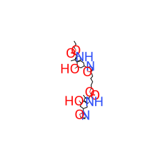 CCCOC(=O)c1[nH]c2c(c1C)C(O)CC(c1ncc(CCCCCOC(=O)c3[nH]c4c(c3C)C(O)CC(c3ncco3)C4)o1)C2